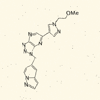 COCCn1cc(-c2cnc3nnn(Cc4ccn5nccc5c4)c3n2)cn1